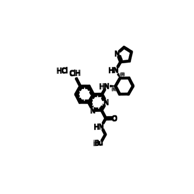 CCC(C)CNC(=O)c1nc(N[C@H]2CCCC[C@H]2NC2=NCCC2)c2cc(C)ccc2n1.Cl.Cl